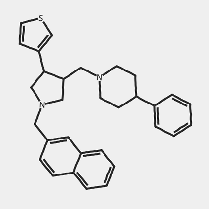 c1ccc(C2CCN(CC3CN(Cc4ccc5ccccc5c4)CC3c3ccsc3)CC2)cc1